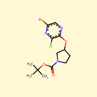 CC(C)(C)OC(=O)N1CCC(Oc2ncc(Br)nc2Cl)C1